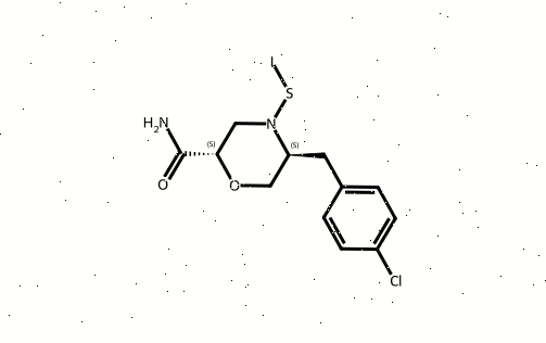 NC(=O)[C@@H]1CN(SI)[C@@H](Cc2ccc(Cl)cc2)CO1